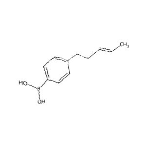 CC=CCCc1ccc(B(O)O)cc1